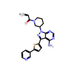 C=CC(=O)N1CCCC(n2nc(-c3ccc(-c4cccnc4)s3)c3c(N)ncnc32)C1